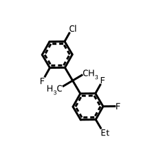 CCc1ccc(C(C)(C)c2cc(Cl)ccc2F)c(F)c1F